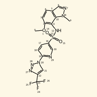 COc1ccc2cnn(C)c2c1NS(=O)(=O)c1ccc(-n2cc(C(F)(F)F)nn2)nc1